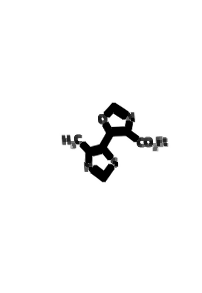 CCOC(=O)c1ncoc1-c1scnc1C